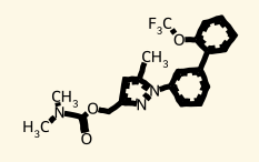 Cc1cc(COC(=O)N(C)C)nn1-c1cccc(-c2ccccc2OC(F)(F)F)c1